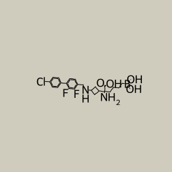 NC(CCCCB(O)O)(C(=O)O)C1CC(NCc2ccc(-c3ccc(Cl)cc3)c(F)c2F)C1